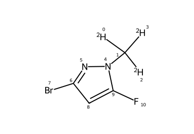 [2H]C([2H])([2H])n1nc(Br)cc1F